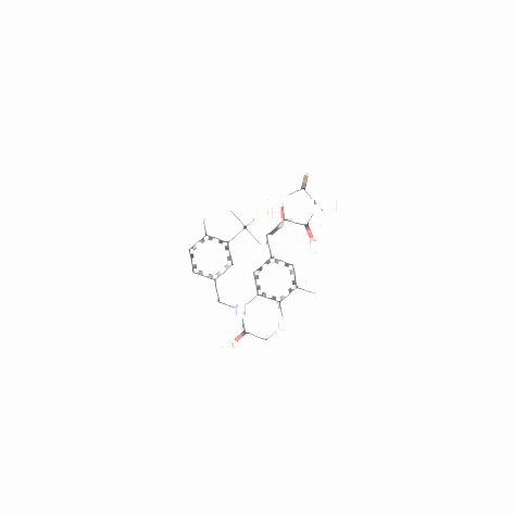 CC(C)(O)c1cc(CN2C(=O)COc3c(F)cc(/C=C4/SC(=S)NC4=O)cc32)ccc1Cl